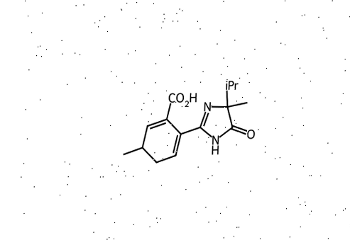 CC1C=C(C(=O)O)C(C2=NC(C)(C(C)C)C(=O)N2)=CC1